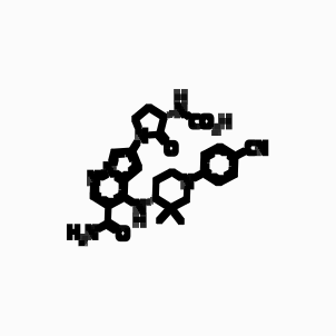 CC1(C)CN(c2ccc(C#N)cc2)CC[C@H]1Nc1c(C(N)=O)cnn2cc(N3CC[C@H](NC(=O)O)C3=O)cc12